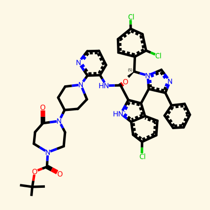 C[C@@H](c1ccc(Cl)cc1Cl)n1cnc(-c2ccccc2)c1-c1c(C(=O)Nc2cccnc2N2CCC(N3CCN(C(=O)OC(C)(C)C)CCC3=O)CC2)[nH]c2cc(Cl)ccc12